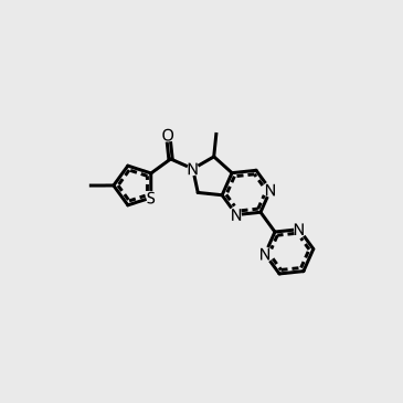 Cc1csc(C(=O)N2Cc3nc(-c4ncccn4)ncc3C2C)c1